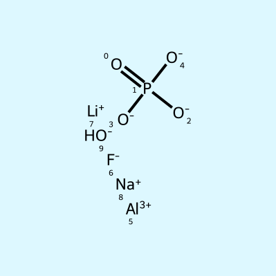 O=P([O-])([O-])[O-].[Al+3].[F-].[Li+].[Na+].[OH-]